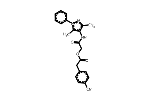 Cc1nn(-c2ccccc2)c(C)c1NC(=O)COC(=O)Cc1ccc(C#N)cc1